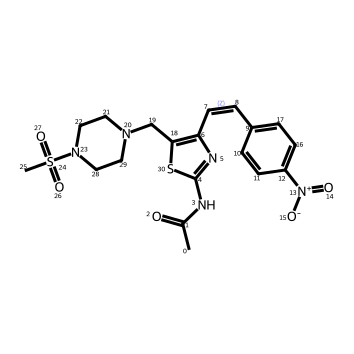 CC(=O)Nc1nc(/C=C\c2ccc([N+](=O)[O-])cc2)c(CN2CCN(S(C)(=O)=O)CC2)s1